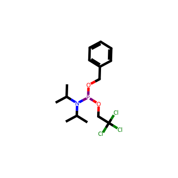 CC(C)N(C(C)C)P(OCc1ccccc1)OCC(Cl)(Cl)Cl